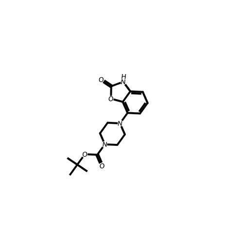 CC(C)(C)OC(=O)N1CCN(c2cccc3[nH]c(=O)oc23)CC1